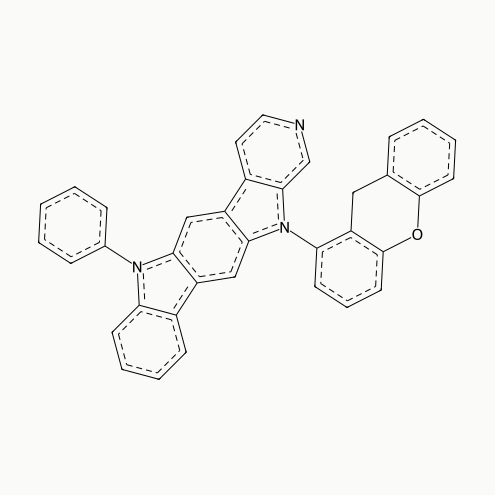 c1ccc(-n2c3ccccc3c3cc4c(cc32)c2ccncc2n4-c2cccc3c2Cc2ccccc2O3)cc1